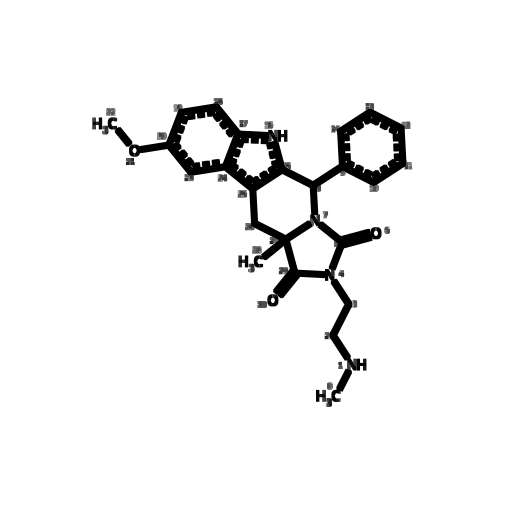 CNCCN1C(=O)N2C(c3ccccc3)c3[nH]c4ccc(OC)cc4c3CC2(C)C1=O